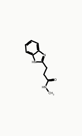 CNC(=O)CCc1nc2ccccc2[nH]1